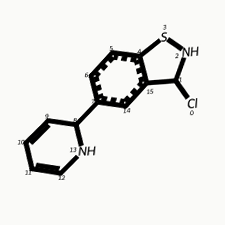 ClC1NSc2ccc(C3C=CC=CN3)cc21